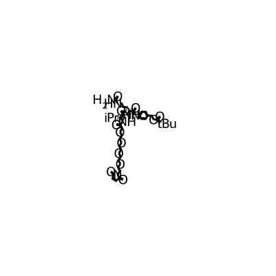 CC(C)[C@H](NC(=O)COCCOCCOCCOCCN1C(=O)C=CC1=O)C(=O)N[C@@H](CCCNC(N)=O)C(=O)Nc1ccc(COC(=O)C(C)(C)C)cc1